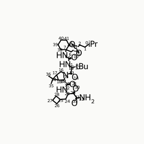 CC(C)CCS(=O)(=O)CC1(NC(=O)N[C@H](C(=O)N2CC3C([C@H]2C(=O)NC(CC2CCC2)C(=O)C(N)=O)C3(C)C)C(C)(C)C)CCCCC1